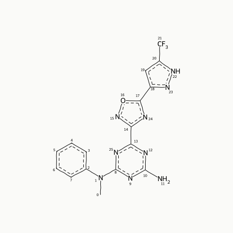 CN(c1ccccc1)c1nc(N)nc(-c2noc(-c3cc(C(F)(F)F)[nH]n3)n2)n1